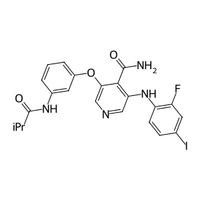 CC(C)C(=O)Nc1cccc(Oc2cncc(Nc3ccc(I)cc3F)c2C(N)=O)c1